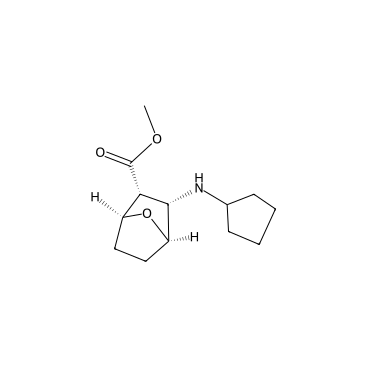 COC(=O)[C@@H]1[C@H](NC2CCCC2)[C@H]2CC[C@@H]1O2